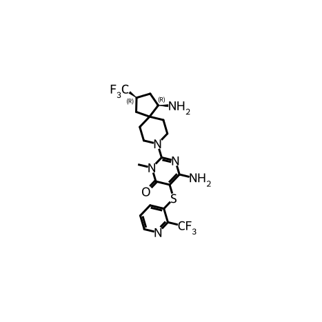 Cn1c(N2CCC3(CC2)C[C@@H](C(F)(F)F)C[C@H]3N)nc(N)c(Sc2cccnc2C(F)(F)F)c1=O